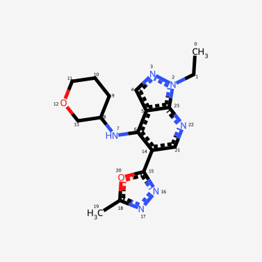 CCn1ncc2c(NC3CCCOC3)c(-c3nnc(C)o3)cnc21